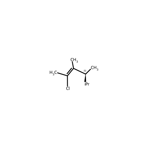 CC(Cl)=C(C)[C@@H](C)C(C)C